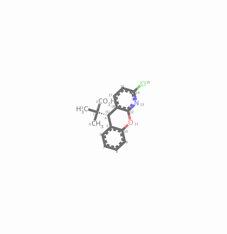 CC(C)(C(=O)O)[C@H]1c2ccccc2Oc2nc(Cl)ccc21